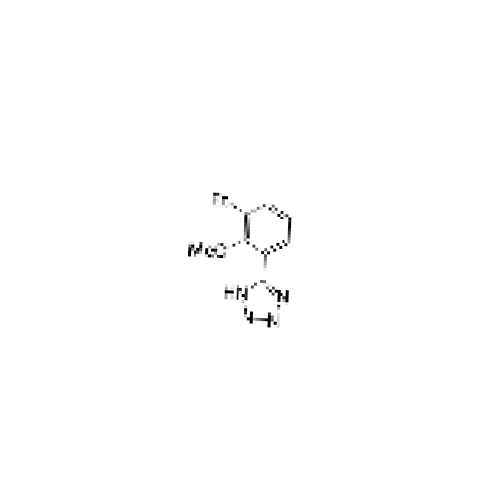 CCc1cccc(-c2nnn[nH]2)c1OC